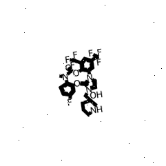 CN(C(=O)Oc1c(-n2ccn(CC3(O)CCCNC3)c2=O)cc(C(F)(F)F)cc1C(F)(F)F)c1ccc(F)cc1